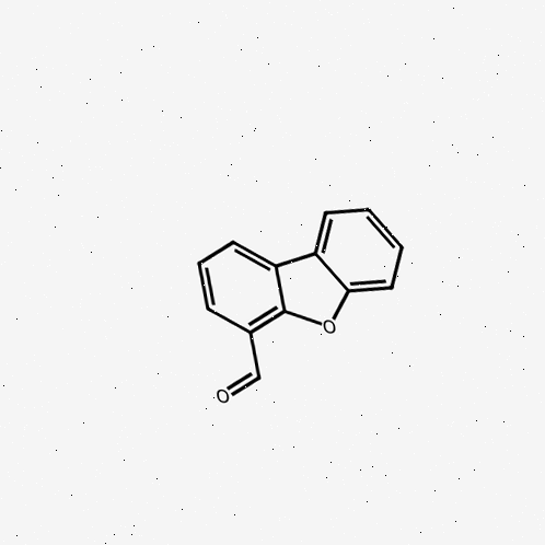 O=Cc1cccc2c1oc1ccccc12